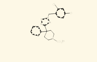 CCOC(=O)N1CCC(c2ccccc2)(c2nnn(Cc3ccc(Cl)cc3Cl)n2)CC1